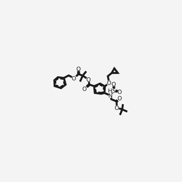 CC(C)(C)OC(=O)CN(c1ccc(C(=O)OC(C)(C)C(=O)OCc2ccccc2)cc1OCC1CC1)[SH](=O)=O